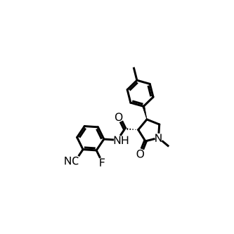 Cc1ccc([C@H]2CN(C)C(=O)[C@@H]2C(=O)Nc2cccc(C#N)c2F)cc1